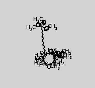 CC[C@H]1OC(=O)[C@H](C)[C@@H](O)[C@H](C)[C@@H](O[C@@H]2O[C@H](C)C[C@H](N(C)C)[C@H]2O)[C@](C)(O)C[C@@H](C)CN(C(=O)CCCCCCCCCCCC[PH](c2cccc(C)c2)(c2cccc(C)c2)c2cccc(C)c2)[C@H](C)[C@@H](O)[C@]1(C)O